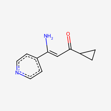 NC(=CC(=O)C1CC1)c1ccncc1